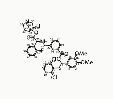 COc1ccc(C(Cc2c(Cl)cncc2Cl)OC(=O)c2cccc(CNC(C(=O)O[C@H]3CN4CCC3CC4)c3ccccc3F)c2)cc1OC